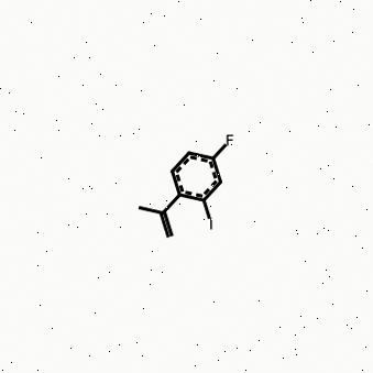 C=C(C)c1ccc(F)cc1I